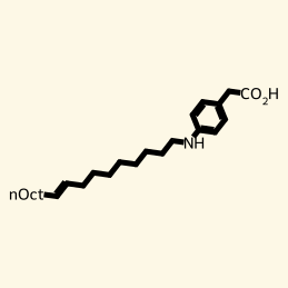 CCCCCCCC/C=C/CCCCCCCCNc1ccc(CC(=O)O)cc1